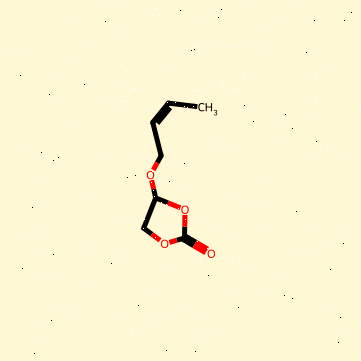 C/C=C\COC1COC(=O)O1